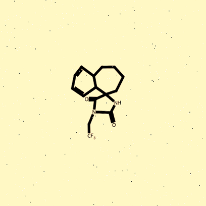 O=C1NC2(CCCCC3C=CC=CC32)C(=O)N1CC(F)(F)F